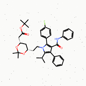 CC(C)c1c(-c2ccccc2)c(C(=O)Nc2ccccc2)c(-c2ccc(F)cc2)n1CC[C@H]1C[C@@H](CC(=O)OC(C)(C)C)OC(C)(C)O1